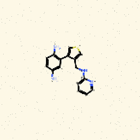 Nc1ccc(N)c(-c2cscc2CNc2ccccn2)c1